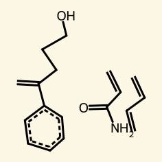 C=C(CCCO)c1ccccc1.C=CC(N)=O.C=CC=C